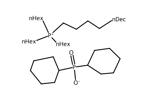 CCCCCCCCCCCCCC[P+](CCCCCC)(CCCCCC)CCCCCC.O=P([O-])(C1CCCCC1)C1CCCCC1